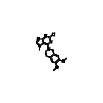 COc1cc2c(cc1OC)CN(c1nc(Cl)nc3ncn(C)c13)CC2